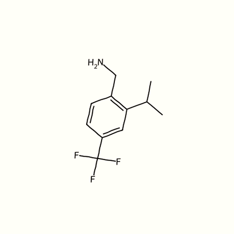 CC(C)c1cc(C(F)(F)F)ccc1CN